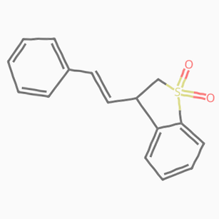 O=S1(=O)CC(C=Cc2ccccc2)c2ccccc21